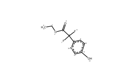 CCOC(=O)C(F)(F)c1ccc(O)cn1